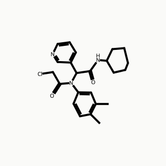 Cc1ccc(N(C(=O)CCl)C(C(=O)NC2CCCCC2)c2cccnc2)cc1C